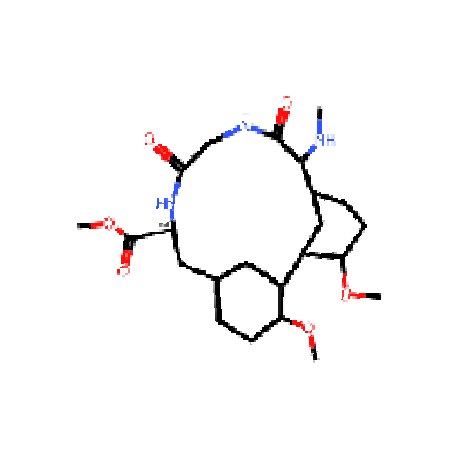 CNC1C(=O)NCC(=O)N[C@H](C(=O)OC)CC2CCC(OC)C(C2)C2CC1CCC2OC